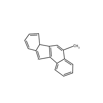 Cc1cc2c(c3ccccc13)[C]=C1C=CC=CC12